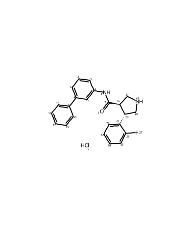 Cl.O=C(Nc1cccc(-c2ccccc2)c1)[C@H]1CNC[C@@H]1c1ccccc1F